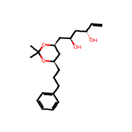 C=C[C@H](O)C[C@@H](O)C[C@H]1C[C@@H](CCCc2ccccc2)OC(C)(C)O1